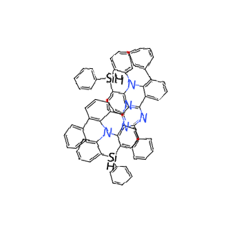 c1ccc(-c2nc(-c3cccc(-c4ccccc4)c3N3c4ccccc4[SiH](c4ccccc4)c4ccccc43)nc(-c3cccc(-c4ccccc4)c3N3c4ccccc4[SiH](c4ccccc4)c4ccccc43)n2)cc1